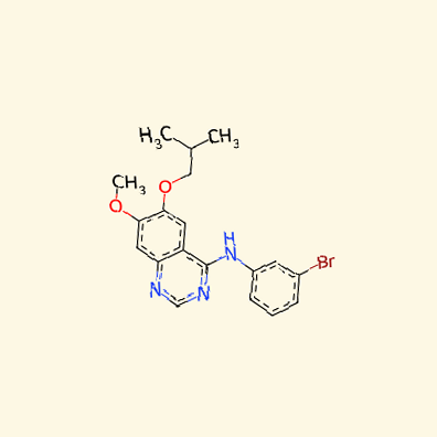 COc1cc2ncnc(Nc3cccc(Br)c3)c2cc1OCC(C)C